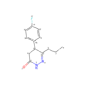 CCCC1=NNC(=O)CC1c1ccc(F)cc1